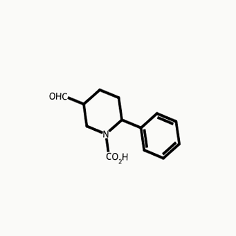 O=CC1CCC(c2ccccc2)N(C(=O)O)C1